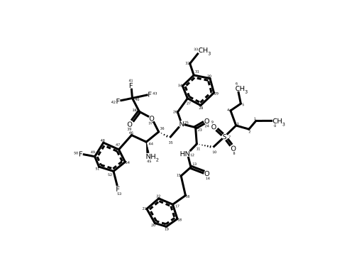 CCCC(CCC)S(=O)(=O)C[C@H](NC(=O)CCc1ccccc1)C(=O)N(Cc1cccc(CC)c1)C[C@@H](OC(=O)C(F)(F)F)[C@@H](N)Cc1cc(F)cc(F)c1